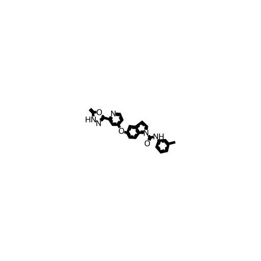 C=C1NN=C(c2cc(Oc3ccc4c(ccn4C(=O)Nc4cccc(C)c4)c3)ccn2)O1